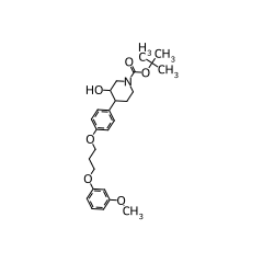 COc1cccc(OCCCOc2ccc(C3CCN(C(=O)OC(C)(C)C)CC3O)cc2)c1